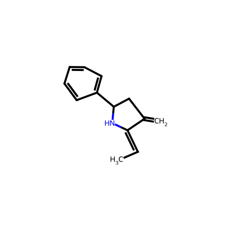 C=C1CC(c2ccccc2)N/C1=C\C